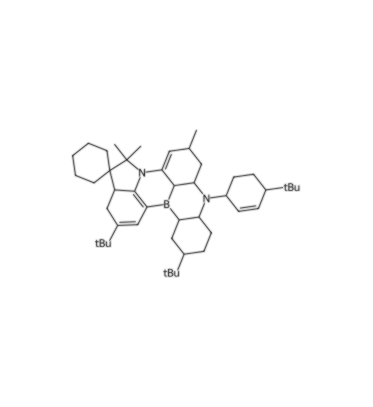 CC1C=C2C3B(C4=C5C(CC(C(C)(C)C)=C4)C4(CCCCC4)C(C)(C)N25)C2CC(C(C)(C)C)CCC2N(C2C=CC(C(C)(C)C)CC2)C3C1